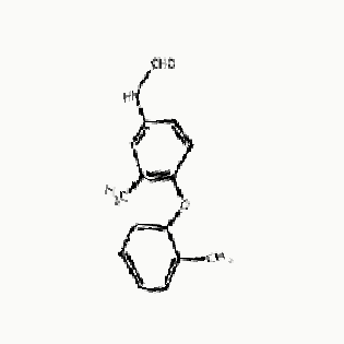 Cc1ccccc1Oc1ccc(NC=O)cc1C